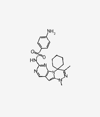 CC1=NN(C)c2cc3cnc(NS(=O)(=O)c4ccc(N)cc4)nc3n2C12CCCCC2